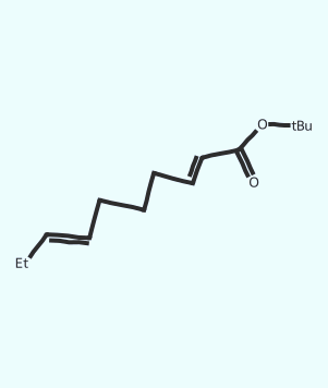 CC/C=C/CCC/C=C/C(=O)OC(C)(C)C